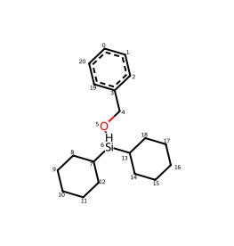 c1ccc(CO[SiH](C2CCCCC2)C2CCCCC2)cc1